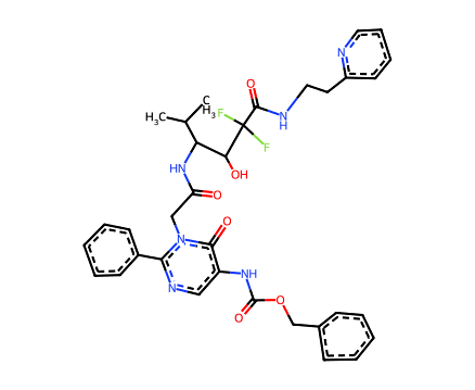 CC(C)C(NC(=O)Cn1c(-c2ccccc2)ncc(NC(=O)OCc2ccccc2)c1=O)C(O)C(F)(F)C(=O)NCCc1ccccn1